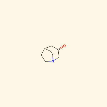 O=C1CC2CCN(CC2)C1